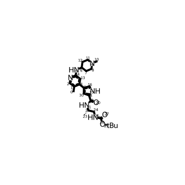 Cc1cnc(NC2CCN(C)CC2)cc1-c1c[nH]c(C(=O)N[C@@H](C)CNC(=O)OC(C)(C)C)c1